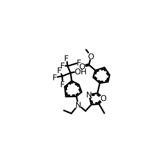 CCN(Cc1nc(-c2cccc(C(=O)OC)c2)oc1C)c1ccc(C(O)(C(F)(F)F)C(F)(F)F)cc1